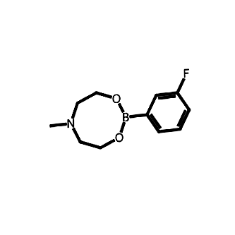 CN1CCOB(c2cccc(F)c2)OCC1